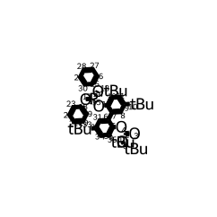 CC(C)(C)OC(=O)Oc1c(-c2cc(C(C)(C)C)cc(C(C)(C)C)c2OP(Oc2ccccc2)Oc2ccccc2)cc(C(C)(C)C)cc1C(C)(C)C